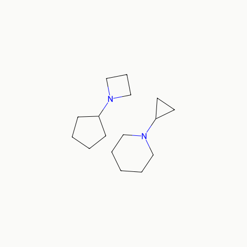 C1CCC(N2CCC2)C1.C1CCN(C2CC2)CC1